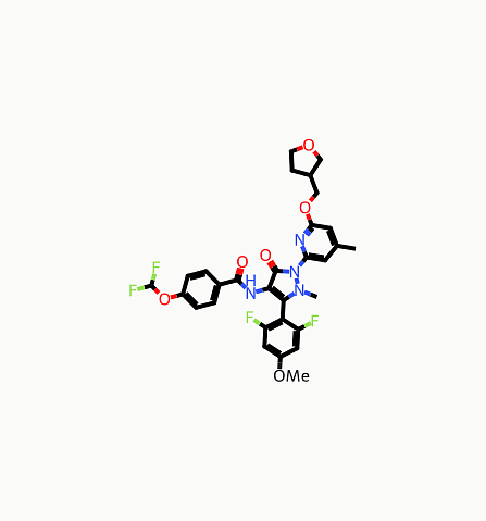 COc1cc(F)c(-c2c(NC(=O)c3ccc(OC(F)F)cc3)c(=O)n(-c3cc(C)cc(OCC4CCOC4)n3)n2C)c(F)c1